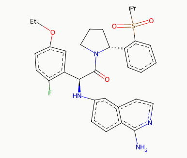 CCOc1ccc(F)c([C@H](Nc2ccc3c(N)nccc3c2)C(=O)N2CCC[C@@H]2c2ccccc2S(=O)(=O)C(C)C)c1